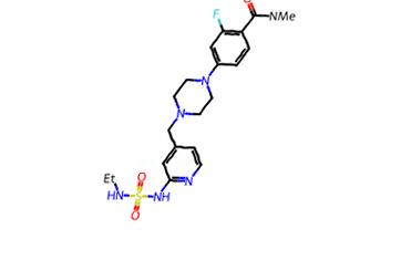 CCNS(=O)(=O)Nc1cc(CN2CCN(c3ccc(C(=O)NC)c(F)c3)CC2)ccn1